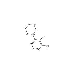 Cc1c(O)cccc1N1CCCCC1